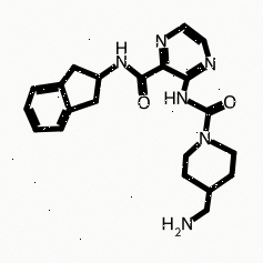 NCC1CCN(C(=O)Nc2nccnc2C(=O)NC2Cc3ccccc3C2)CC1